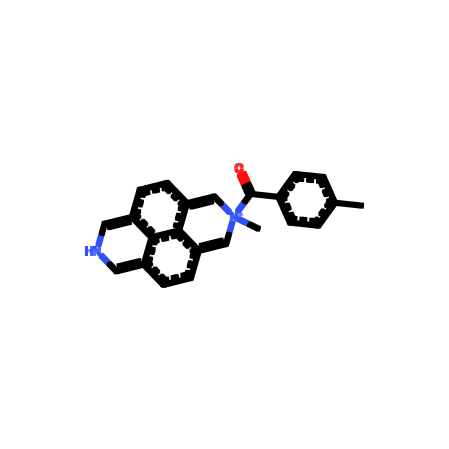 Cc1ccc(C(=O)[N+]2(C)C=c3ccc4c5c(ccc(c35)=C2)=CNC=4)cc1